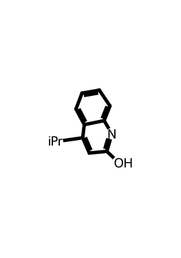 CC(C)c1cc(O)nc2ccccc12